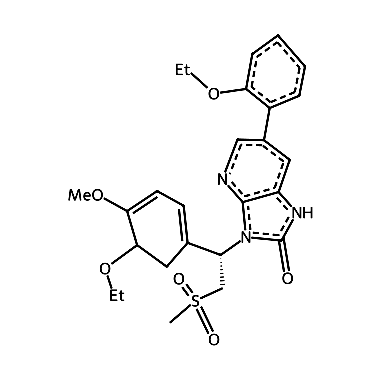 CCOc1ccccc1-c1cnc2c(c1)[nH]c(=O)n2[C@H](CS(C)(=O)=O)C1=CC=C(OC)C(OCC)C1